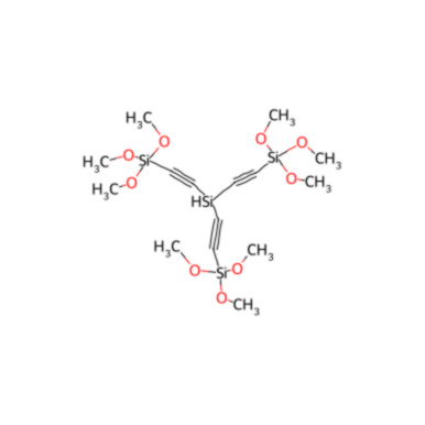 CO[Si](C#C[SiH](C#C[Si](OC)(OC)OC)C#C[Si](OC)(OC)OC)(OC)OC